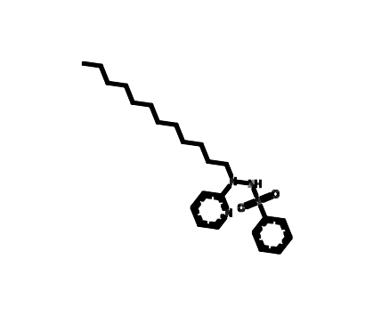 CCCCCCCCCCCCN(NS(=O)(=O)c1ccccc1)c1ccccn1